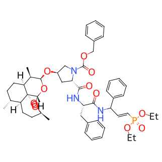 CCOP(=O)(/C=C/C(NC(=O)[C@H](Cc1ccccc1)NC(=O)[C@@H]1C[C@@H](O[C@H]2O[C@@H]3O[C@@]4(C)CC[C@H]5[C@H](C)CC[C@@H]([C@H]2C)[C@@]35OO4)CN1C(=O)OCc1ccccc1)c1ccccc1)OCC